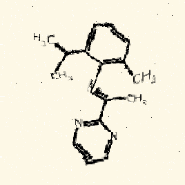 CC(=Nc1c(C)cccc1C(C)C)c1ncccn1